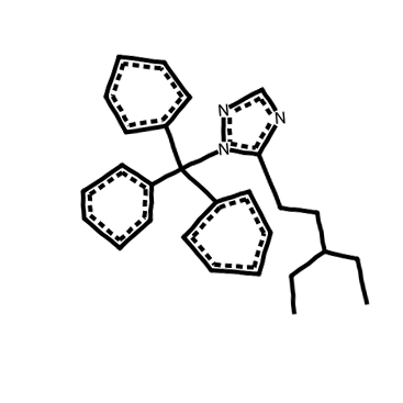 CCC(CC)CCc1ncnn1C(c1ccccc1)(c1ccccc1)c1ccccc1